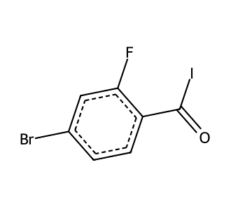 O=C(I)c1ccc(Br)cc1F